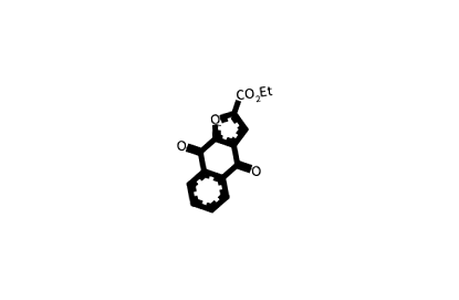 CCOC(=O)c1cc2c(o1)C(=O)c1ccccc1C2=O